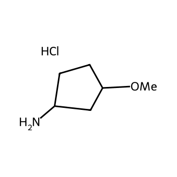 COC1CCC(N)C1.Cl